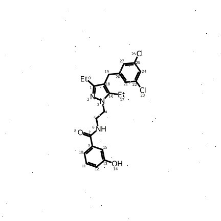 CCc1nn(CCNC(=O)c2cccc(O)c2)c(CC)c1Cc1cc(Cl)cc(Cl)c1